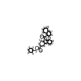 O=C(OCc1ccccc1)C1CCc2c(c3ccccc3n2C(=O)c2cccc3ccccc23)C1